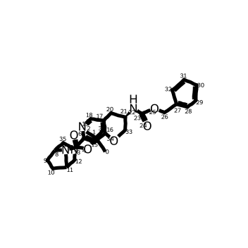 CC(C)(C)OC(=O)N1C2CCC1CN(c1cc3c(cn1)C[C@@H](NC(=O)OCc1ccccc1)CO3)C2